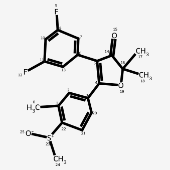 Cc1cc(C2=C(c3cc(F)cc(F)c3)C(=O)C(C)(C)O2)ccc1[S+](C)[O-]